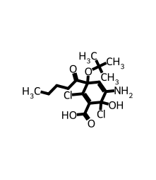 CCCCC(=O)C1(OC(C)(C)C)C=C(N)C(O)(Cl)C(C(=O)O)=C1Cl